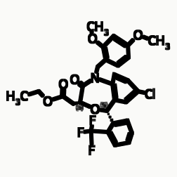 CCOC(=O)C[C@@H]1O[C@@H](c2ccccc2C(F)(F)F)c2cc(Cl)ccc2N(Cc2ccc(OC)cc2OC)C1=O